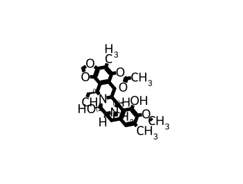 CC[C@H]1c2c(c(OC(C)=O)c(C)c3c2OCO3)CC2[C@H]3c4c(cc(C)c(OC)c4O)C[C@@H]([C@H](O)N21)N3C